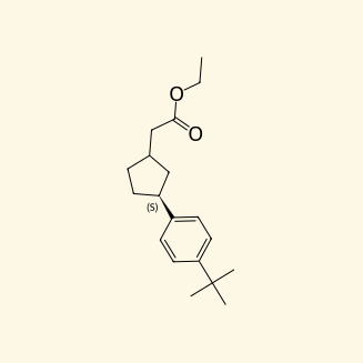 CCOC(=O)CC1CC[C@H](c2ccc(C(C)(C)C)cc2)C1